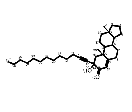 C[C@@]12CCCC1C1CCC3=CC(=O)C(O)(C#CCCCCCCCCCCI)C[C@]3(C)C1CC2